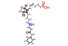 O=C(O)CCC/C=C\C[C@H]1[C@@H](CCCCNC=CC(=O)Cc2ccccc2)[C@H]2CC[C@@H]1O2